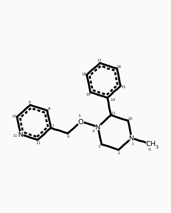 CN1CCN(OCc2cccnc2)C(c2ccccc2)C1